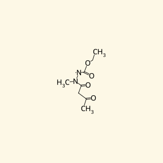 CCOC(=O)[N]N(C)C(=O)CC(C)=O